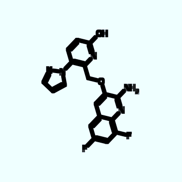 Nc1nc2c(F)cc(F)cc2cc1OCc1nc(O)ccc1-n1cccn1